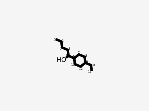 CCCCC(O)C1CCC(CC)CC1